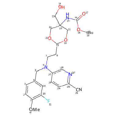 COc1ccc(CN(CCC2OCC(CO)(NC(=O)OC(C)(C)C)CO2)c2ccc(C#N)nc2)cc1F